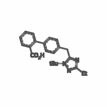 CCc1nc(Cc2ccc(-c3ccccc3C(=O)O)cc2)n(C(C)(C)C)n1